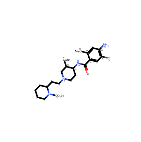 CCOC(=O)N1CCCCC1CCN1CCC(NC(=O)c2cc(Cl)c(N)cc2OC)C(OC)C1